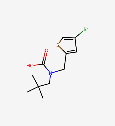 CC(C)(C)CN(Cc1cc(Br)cs1)C(=O)O